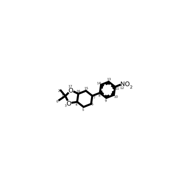 CC1(C)OC2CCC(c3ccc([N+](=O)[O-])cc3)CC2O1